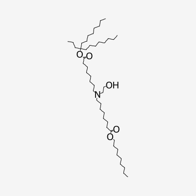 CCCCCCCCCOC(=O)CCCCCCCN(CCO)CCCCCCCC(=O)OC(CCC)(CCCCCCCC)CCCCCCCC